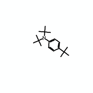 CC(C)(C)c1ccc(N(C(C)(C)C)C(C)(C)C)cc1